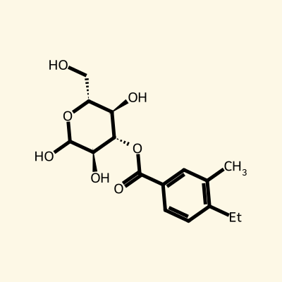 CCc1ccc(C(=O)O[C@H]2[C@H](O)[C@@H](CO)OC(O)[C@@H]2O)cc1C